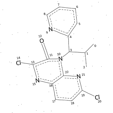 CC(C)C(c1ccccn1)n1c(=O)c(Cl)nc2ccc(Cl)nc21